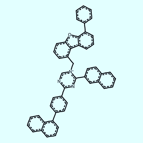 c1ccc(-c2cccc3c2oc2cccc(C[n+]4cnc(-c5ccc(-c6cccc7ccccc67)cc5)nc4-c4ccc5ccccc5c4)c23)cc1